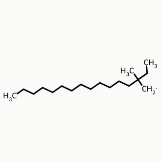 [CH2]C(C)(CC)CCCCCCCCCCCCC